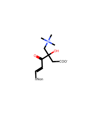 CCCCCCCCCC=CC(=O)C(O)(CC(=O)[O-])C[N+](C)(C)C